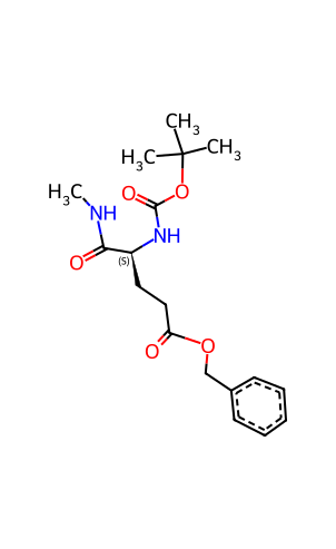 CNC(=O)[C@H](CCC(=O)OCc1ccccc1)NC(=O)OC(C)(C)C